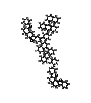 C1=C(c2cccc(-c3c4ccccc4c(-c4cccc5c(-c6cc7oc8cc9ccc%10c%11ccccc%11oc%10c9cc8c7cc6-c6cccc(-c7c8ccccc8c(-c8cccc9ccccc89)c8ccccc78)c6)cccc45)c4ccccc34)c2)C=C2Oc3c(ccc4ccc5c6ccccc6oc5c34)C2C1